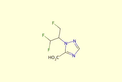 O=C(O)c1ncnn1C(CF)C(F)F